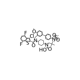 COc1ccc(-c2ccc(N(C)S(C)(=O)=O)cc2)cc1CN(C(=O)c1sc2c(F)ccc(F)c2c1Cl)C1CCC(N(CC(C)(C)C)C(=O)O)CC1